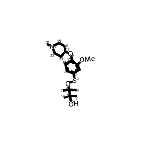 COc1cc(SOC(C)(C)C(C)(C)O)ccc1OC1CCN(C)CC1